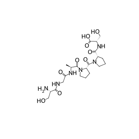 C[C@H](NC(=O)CNC(=O)[C@@H](N)CO)C(=O)N1CCC[C@H]1C(=O)N1CCC[C@H]1C(=O)N[C@@H](CO)C(=O)O